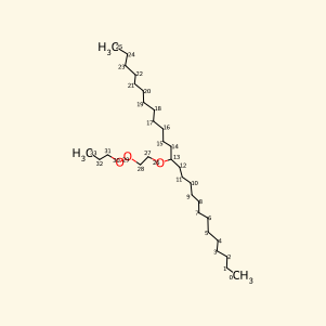 CCCCCCCCCCCCCC(CCCCCCCCCCCC)OCCOOCCC